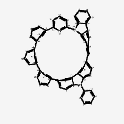 c1ccc(-n2c3ccc4cc3c3cc(ccc32)c2ccc3c(c2)c2ccccc2n3c2cccc(n2)c2cccc(c2)c2cccc(c2)c2cccc4c2)cc1